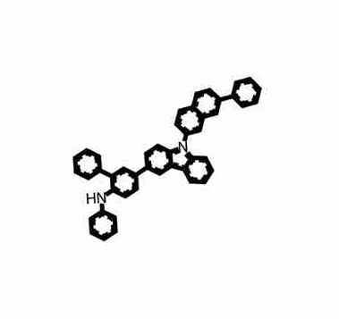 c1ccc(Nc2ccc(-c3ccc4c(c3)c3ccccc3n4-c3ccc4ccc(-c5ccccc5)cc4c3)cc2-c2ccccc2)cc1